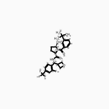 C[C@@H]1CC[C@H](C(=O)N[C@@H](c2ccc(C(F)(F)F)cc2F)C2COC2)N1C(=O)c1cccc(C(C)(C)C)c1